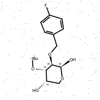 CC(C)(C)O[C@@H]1[C@@H](OCc2ccc(F)cc2)[C@@H](O)OC[C@@H]1O